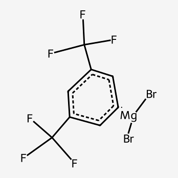 FC(F)(F)c1c[c]cc(C(F)(F)F)c1.[Br][Mg][Br]